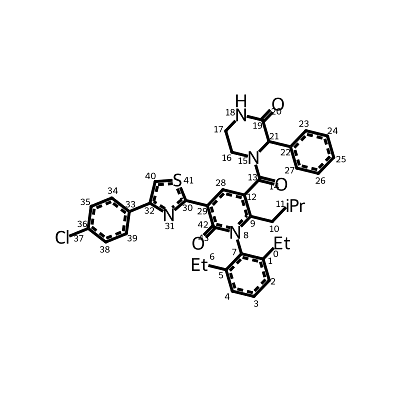 CCc1cccc(CC)c1-n1c(CC(C)C)c(C(=O)N2CCNC(=O)C2c2ccccc2)cc(-c2nc(-c3ccc(Cl)cc3)cs2)c1=O